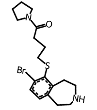 O=C(CCCSc1c(Br)ccc2c1CCNCC2)N1CCCC1